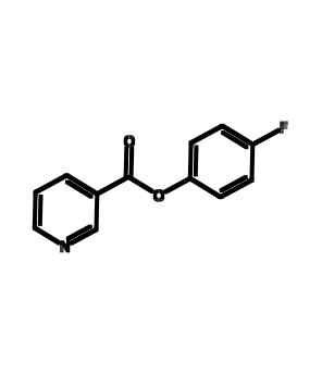 O=C(Oc1ccc(F)cc1)c1cccnc1